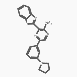 Nc1ncc(-c2cccc(N3CCCC3)c2)nc1-c1nc2ccccc2o1